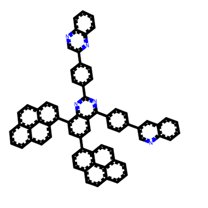 c1ccc2ncc(-c3ccc(-c4nc(-c5ccc(-c6cnc7ccccc7n6)cc5)nc5c(-c6ccc7ccc8cccc9ccc6c7c89)cc(-c6ccc7ccc8cccc9ccc6c7c89)cc45)cc3)cc2c1